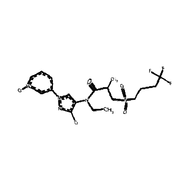 CCN(C(=O)C(C)CS(=O)(=O)CCCC(F)(F)F)c1cn(-c2ccc[n+]([O-])c2)nc1Cl